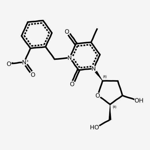 Cc1cn([C@H]2CC(O)[C@@H](CO)O2)c(=O)n(Cc2ccccc2[N+](=O)[O-])c1=O